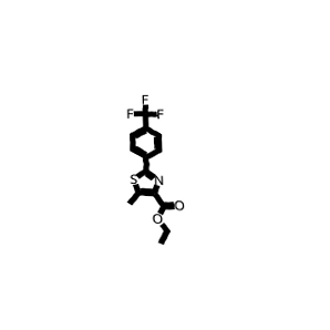 CCOC(=O)c1nc(-c2ccc(C(F)(F)F)cc2)sc1C